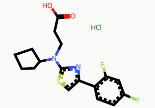 Cl.O=C(O)CCN(c1nc(-c2ccc(F)cc2F)cs1)C1CCCC1